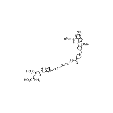 CCCCCNc1nc(N)nc2ccn(Cc3ccc(CN4CCN(C(=O)NCCOCCOCCOCCn5cc(CNC(=O)C[C@@H](SC[C@H](N)C(=O)O)C(=O)O)nn5)CC4)cc3OC)c12